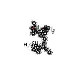 CC(C)(C)c1ccc2c(c1)C1(c3ccccc3-c3ccccc31)c1ccc(N(c3ccc(-c4ccccc4)cc3)c3ccc(-c4cccc(-c5cccc6c5-c5ccccc5C65c6ccc(N(c7ccc(-c8ccccc8)cc7)c7ccccc7-c7ccccc7)cc6-c6ccc(C(C)(C)C)cc65)c4)cc3)cc1-2